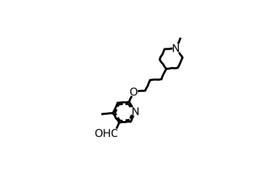 Cc1cc(OCCCC2CCN(C)CC2)ncc1C=O